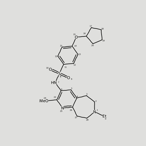 CCN1CCc2cc(NS(=O)(=O)c3ccc(OC4CCCC4)cc3)c(OC)nc2CC1